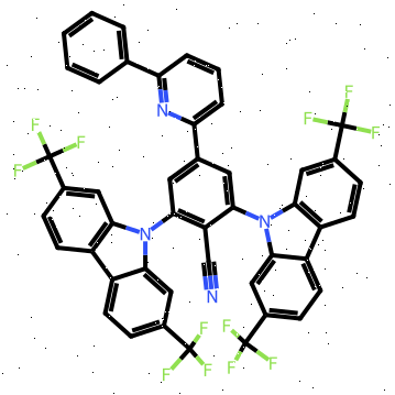 N#Cc1c(-n2c3cc(C(F)(F)F)ccc3c3ccc(C(F)(F)F)cc32)cc(-c2cccc(-c3ccccc3)n2)cc1-n1c2cc(C(F)(F)F)ccc2c2ccc(C(F)(F)F)cc21